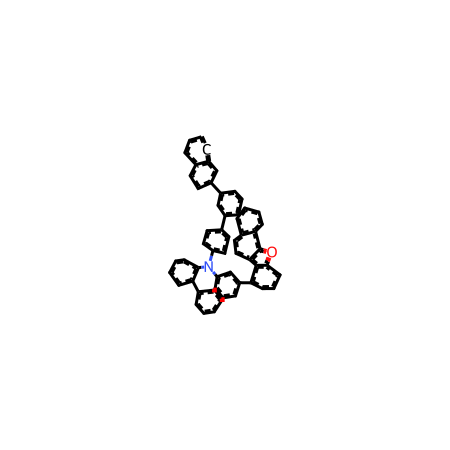 c1ccc(-c2ccccc2N(c2ccc(-c3cccc(-c4ccc5ccccc5c4)c3)cc2)c2cccc(-c3cccc4oc5c6ccccc6ccc5c34)c2)cc1